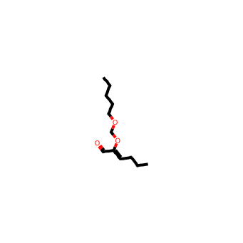 CCCC=C(C=O)OCOCCCCC